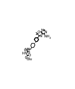 CC(C)(C)OC(=O)NS(=O)(=O)NC[C@H]1CC[C@H](c2ccc(C3=Nc4c(N)ncnc4OC3(C)C)cc2)CC1